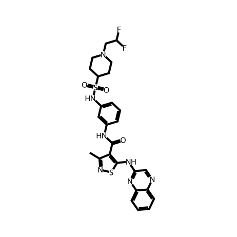 Cc1nsc(Nc2cnc3ccccc3n2)c1C(=O)Nc1cccc(NS(=O)(=O)C2CCN(CC(F)F)CC2)c1